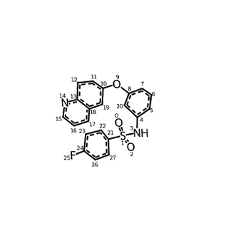 O=S(=O)(Nc1cccc(Oc2ccc3ncccc3c2)c1)c1ccc(F)cc1